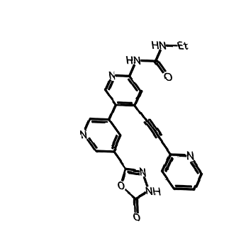 CCNC(=O)Nc1cc(C#Cc2ccccn2)c(-c2cncc(-c3n[nH]c(=O)o3)c2)cn1